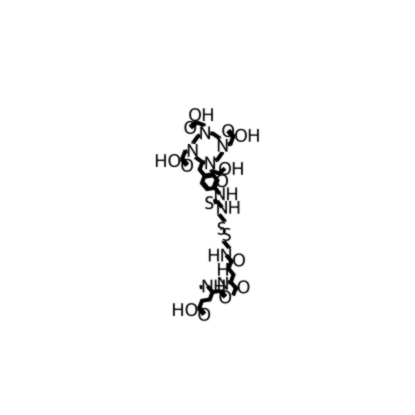 CNC(CCC(=O)O)C(=O)NC(CCC(=O)NCCSSCCNC(=S)Nc1ccc(CC2CN(CC(=O)O)CCN(CC(=O)O)CCN(CC(=O)O)CCN2CC(=O)O)cc1)C(C)=O